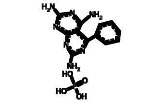 Nc1nc(N)c2c(-c3ccccc3)nc(N)nc2n1.O=P(O)(O)O